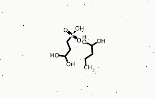 CCCC(O)O.O=S(=O)(O)CCC(O)O